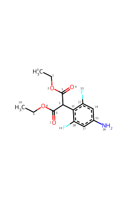 CCOC(=O)C(C(=O)OCC)c1c(F)cc(N)cc1F